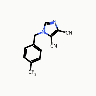 N#Cc1ncn(Cc2ccc(C(F)(F)F)cc2)c1C#N